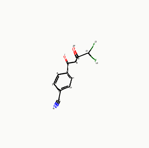 N#Cc1ccc(C(=O)CC(=O)C(F)F)cc1